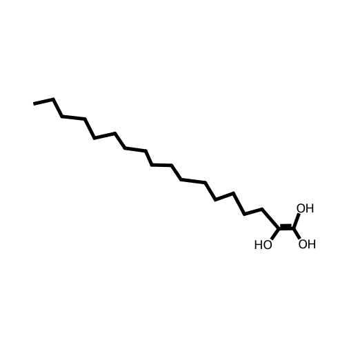 CCCCCCCCCCCCCCCCC(O)=C(O)O